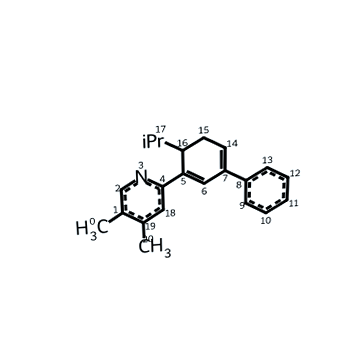 Cc1cnc(C2=CC(c3ccccc3)=CCC2C(C)C)cc1C